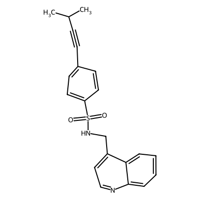 CC(C)C#Cc1ccc(S(=O)(=O)NCc2ccnc3ccccc23)cc1